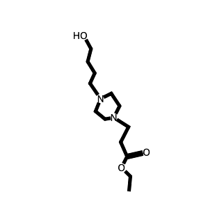 CCOC(=O)CCN1CCN(CCCCO)CC1